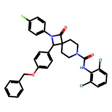 O=C(Nc1c(Cl)cccc1Cl)N1CCC2(CC1)C(=O)N(c1ccc(F)cc1)C2c1ccc(OCc2ccccc2)cc1